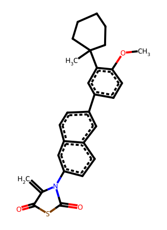 C=C1C(=O)SC(=O)N1c1ccc2cc(-c3ccc(OC)c(C4(C)CCCCC4)c3)ccc2c1